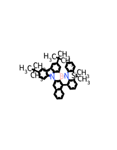 CC(C)(C)c1ccc2c(c1)c1cc(C(C)(C)C)cc3c1n2-c1cc2ccccc2c2c1B3N1c3ccccc3[Si](C)(C)c3cccc-2c31